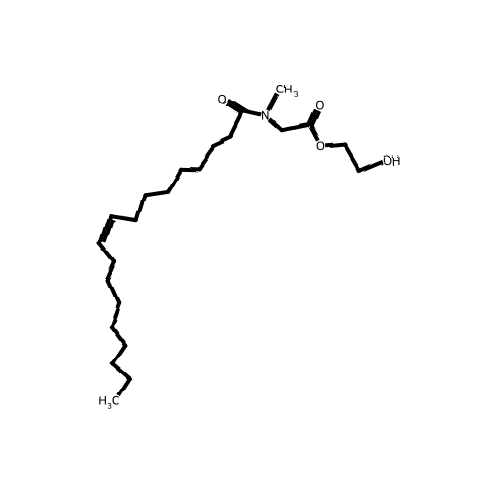 CCCCCCCC/C=C\CCCCCCCC(=O)N(C)CC(=O)OCCO